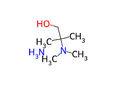 CN(C)C(C)(C)CO.N